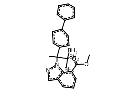 BC(B)(B)C(C)(c1ccc(-c2ccccc2)cc1)n1ncc2cccc(C(=O)OC)c21